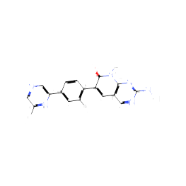 CNc1ncc2cc(-c3ccc(-c4cncc(C)n4)cc3C)c(=O)n(C)c2n1